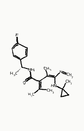 C=N/C(NC1(C)CC1)=C(\C)C(C(=O)N[C@H](C)c1ccc(F)cc1)=C(C)C